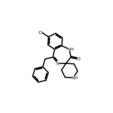 O=C1Nc2ccc(Cl)cc2C(Cc2ccccc2)=NC12CCNCC2